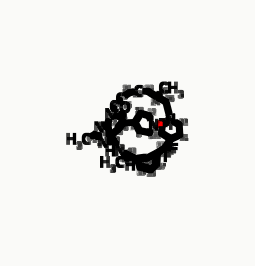 Cc1nc2c3cc(C4CCN(C(C)C)CC4)c(=O)n(c3n1)CCCCCC(C)CN1CCC(CC1)C(F)(F)c1cccc(c1)[C@@H](C)N2